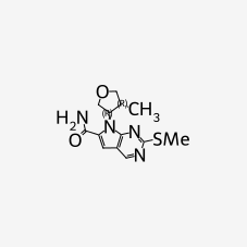 CSc1ncc2cc(C(N)=O)n([C@H]3COC[C@@H]3C)c2n1